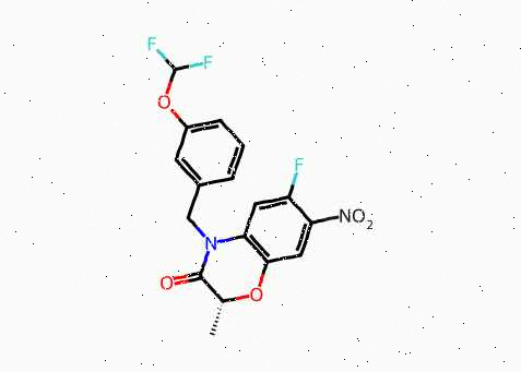 C[C@H]1Oc2cc([N+](=O)[O-])c(F)cc2N(Cc2cccc(OC(F)F)c2)C1=O